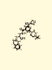 CC(C)(C)N1CCN(c2nc(NC3COC3)cc(C(=O)NC[C@H](O)CN3CCc4ccccc4C3)n2)CC1